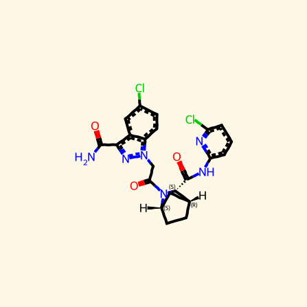 NC(=O)c1nn(CC(=O)N2[C@H]3CC[C@H](C3)[C@H]2C(=O)Nc2cccc(Cl)n2)c2ccc(Cl)cc12